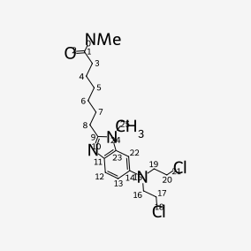 CNC(=O)CCCCCCc1nc2ccc(N(CCCl)CCCl)cc2n1C